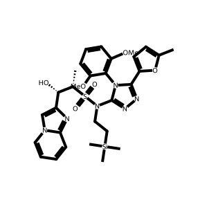 COc1cccc(OC)c1-n1c(-c2ccc(C)o2)nnc1N(CC[Si](C)(C)C)S(=O)(=O)[C@@H](C)[C@@H](O)c1cn2ccccc2n1